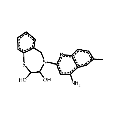 Cc1ccc2nc(N3Cc4ccccc4SC(O)C3O)cc(N)c2c1